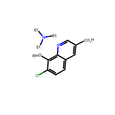 CCN(CC)CC.COc1c(Cl)ccc2cc(C(=O)O)cnc12